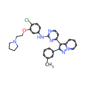 Cc1cccc(-c2nn3ccccc3c2-c2ccnc(Nc3ccc(Cl)c(OCCN4CCCC4)c3)n2)c1